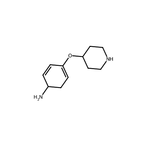 NC1C=CC(OC2CCNCC2)=CC1